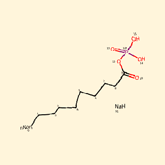 CCCCCCCCCCCCCCCCCC(=O)OP(=O)(O)O.[NaH]